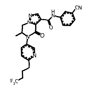 CC1Cn2ncc(C(=O)Nc3cccc(C#N)c3)c2C(=O)N1c1ccc(CCCC(F)(F)F)nc1